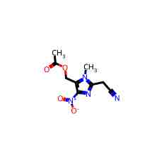 CC(=O)OCc1c([N+](=O)[O-])nc(CC#N)n1C